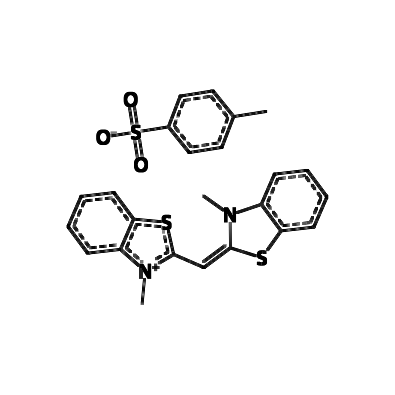 CN1C(=Cc2sc3ccccc3[n+]2C)Sc2ccccc21.Cc1ccc(S(=O)(=O)[O-])cc1